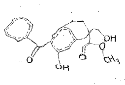 COC(=O)C1(CO)CCc2cc(C(=O)c3ccccc3)c(O)cc21